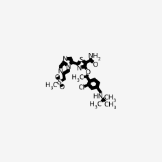 CC(Oc1nc(-c2cnc3cnc(CS(C)(=O)=O)cn23)sc1C(N)=O)c1ccc(CNC(C)(C)C)cc1Cl